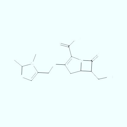 CC1SC=C(CSC2=C(C(=O)O)N3C(=O)C([C@@H](C)O)C3C2)N1C